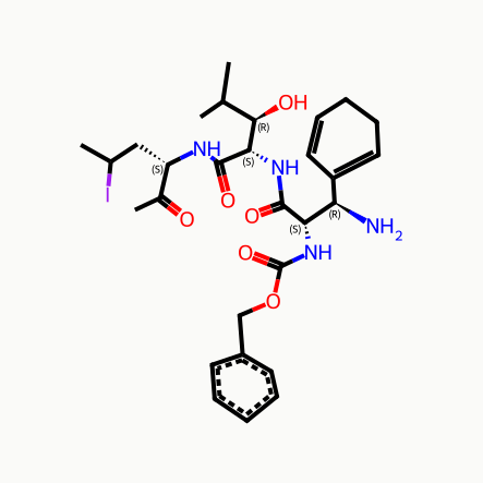 CC(=O)[C@H](CC(C)I)NC(=O)[C@@H](NC(=O)[C@@H](NC(=O)OCc1ccccc1)[C@H](N)C1=CCCC=C1)[C@H](O)C(C)C